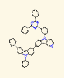 c1ccc(-c2ccc3c(c2)c2cc(-c4ccc5c(c4)c4cnccc4n5-c4cccc(-c5nc(-c6ccccc6)nc(-c6ccccc6)n5)c4)ccc2n3-c2ccccc2)cc1